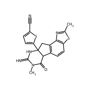 Cc1nc2c3c(ccc2s1)C1C(=O)N(C)C(=N)NC1(c1ccc(C#N)s1)C3